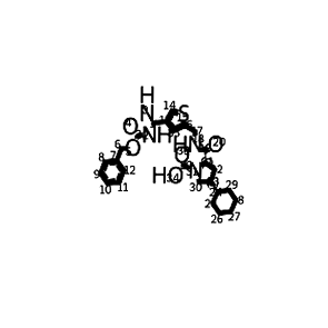 N=C(NC(=O)OCc1ccccc1)c1csc(CNC(=O)[C@@H]2C[C@@H](C3CCCCC3)CN2C(=O)O)c1